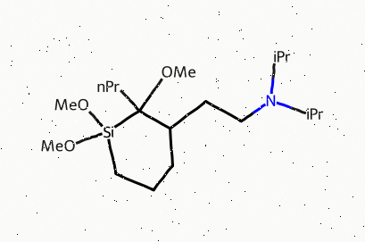 CCCC1(OC)C(CCN(C(C)C)C(C)C)CCC[Si]1(OC)OC